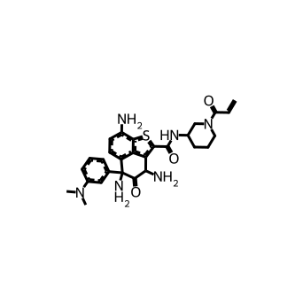 C=CC(=O)N1CCCC(NC(=O)c2sc3c(N)ccc4c3c2C(N)C(=O)C4(N)c2cccc(N(C)C)c2)C1